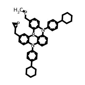 C=PCc1ccc2c(c1)B1c3cc(CC4C=P4)ccc3N(c3ccc(C4CCCCC4)cc3)c3cccc(c31)N2c1ccc(C2CCCCC2)cc1